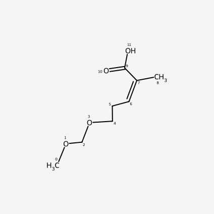 COCOCCC=C(C)C(=O)O